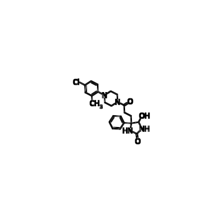 Cc1cc(Cl)ccc1N1CCN(C(=O)CCC2(c3ccccc3)NC(=O)NC2O)CC1